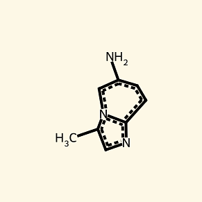 Cc1cnc2ccc(N)cn12